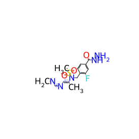 C=N/C=N\C=C(/C)N(Cc1ccc(C(=O)NN)cc1F)S(C)(=O)=O